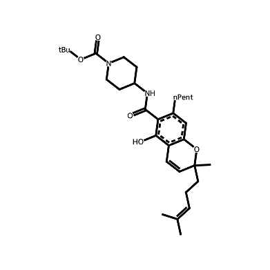 CCCCCc1cc2c(c(O)c1C(=O)NC1CCN(C(=O)OC(C)(C)C)CC1)C=CC(C)(CCC=C(C)C)O2